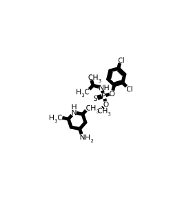 CC1CC(N)CC(C)N1.COP(=S)(NC(C)C)Oc1ccc(Cl)cc1Cl